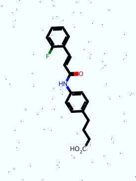 O=C(O)CCCc1ccc(NC(=O)/C=C/c2ccccc2F)cc1